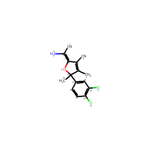 CC1=C(C#N)/C(=C(/N)C#N)OC1(C)c1ccc(Cl)c(Cl)c1